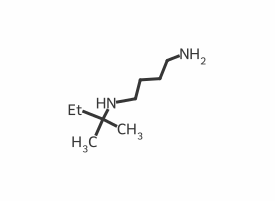 CCC(C)(C)NCCCCN